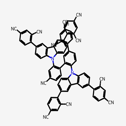 N#Cc1ccc(-c2ccc3c(c2)c2cc(-c4ccc(C#N)cc4C#N)ccc2n3-c2ccc(-c3ccc(C(F)(F)F)cc3C#N)cc2-c2ccc(C#N)cc2-n2c3ccc(-c4ccc(C#N)cc4C#N)cc3c3cc(-c4ccc(C#N)cc4C#N)ccc32)c(C#N)c1